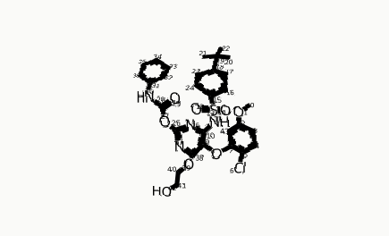 COc1ccc(Cl)c(Oc2c(NS(=O)(=O)c3ccc(C(C)(C)C)cc3)nc(OC(=O)Nc3ccccc3)nc2OCCO)c1